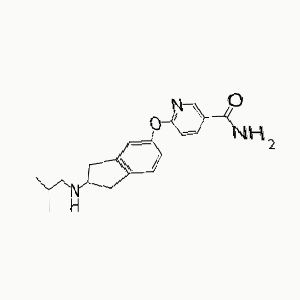 CC(C)CNC1Cc2ccc(Oc3ccc(C(N)=O)cn3)cc2C1